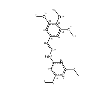 CCc1nc(CC)nc(NN=Cc2cc(OC)c(OC)c(OC)c2)n1